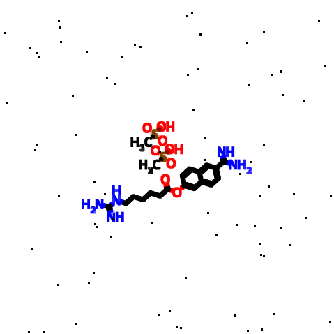 CS(=O)(=O)O.CS(=O)(=O)O.N=C(N)NCCCCCC(=O)Oc1ccc2cc(C(=N)N)ccc2c1